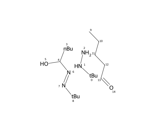 CC(C)(C)NN.CCCCC(O)/N=N/C(C)(C)C.CCCCC=O